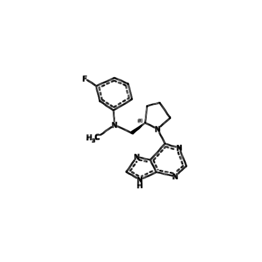 CN(C[C@H]1CCCN1c1ncnc2[nH]cnc12)c1cccc(F)c1